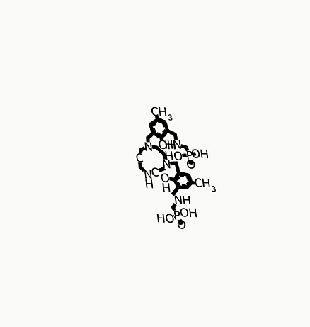 Cc1cc(CNCP(=O)(O)O)c(O)c(CN2CCCNCCN(Cc3cc(C)cc(CNCP(=O)(O)O)c3O)CC2)c1